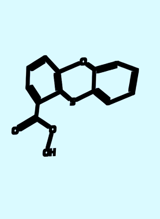 O=C(OO)c1cccc2c1Sc1ccccc1O2